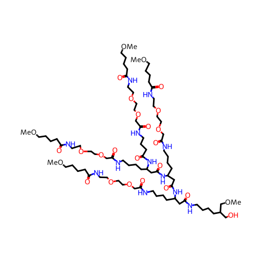 COCCCCC(=O)NCCOCCOCC(=O)NCCCCC(CC(=O)NCCCCC(CO)COC)NC(=O)CC(CCCCNC(=O)COCCOCCNC(=O)CCCCOC)NC(=O)CC(CCCCNC(=O)COCCOCCNC(=O)CCCCOC)NC(=O)CCCNC(=O)COCCOCCNC(=O)CCCCOC